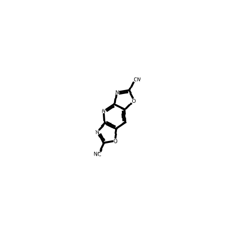 N#Cc1nc2nc3nc(C#N)oc3cc2o1